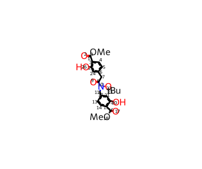 COC(=O)c1ccc(CC(=O)N(Cc2ccc(C(=O)OC)c(O)c2)OC(C)(C)C)cc1O